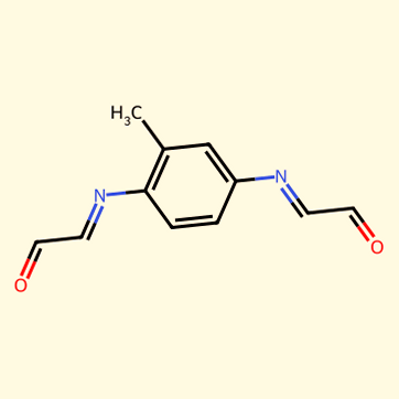 Cc1cc(N=CC=O)ccc1N=CC=O